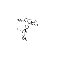 CNC(=O)N1CCc2ccc(OC)cc2C(c2ccc(-n3nc(COC)cc3C)cc2)=N1